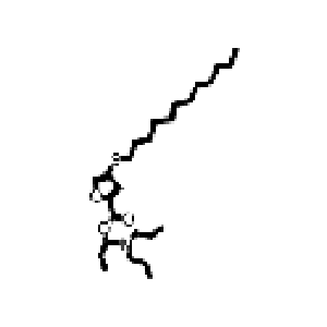 CCCCCCCCCCCCSc1coc(C(=O)OC(CC)N(CCC)CCC)c1